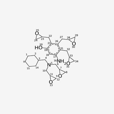 C1CCC(CN(CC2CO2)CC2CO2)CC1.Nc1cc(O)c(CC2CO2)c(CC2CO2)c1CC1CO1